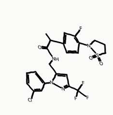 CC(C(=O)NCc1cc(C(F)(F)F)nn1-c1cccc(Cl)c1)c1ccc(N2CCCS2(=O)=O)c(F)c1